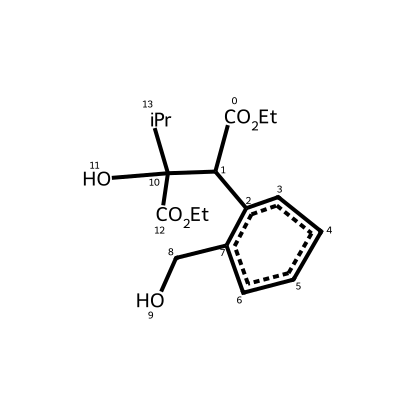 CCOC(=O)C(c1ccccc1CO)C(O)(C(=O)OCC)C(C)C